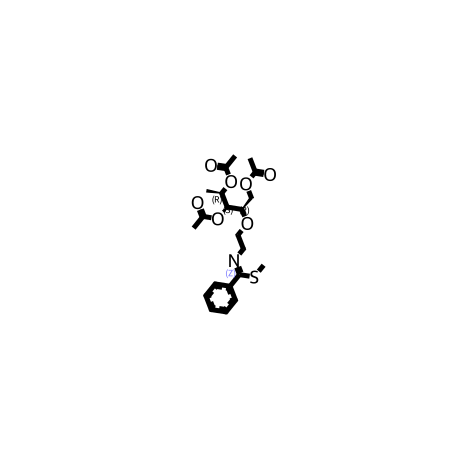 CS/C(=N\CCO[C@H](COC(C)=O)[C@@H](OC(C)=O)[C@@H](C)OC(C)=O)c1ccccc1